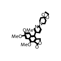 COc1cc2c(OC)c3c(c(-c4ccc(N5CCC6(CC5)OCCO6)nc4)c2cc1OC)COC3=O